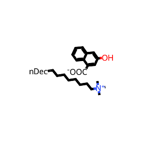 CCCCCCCCCCCCCCCCCC[N+](C)(C)C.O=C([O-])c1cc(O)cc2ccccc12